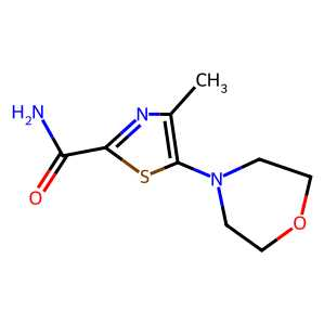 Cc1nc(C(N)=O)sc1N1CCOCC1